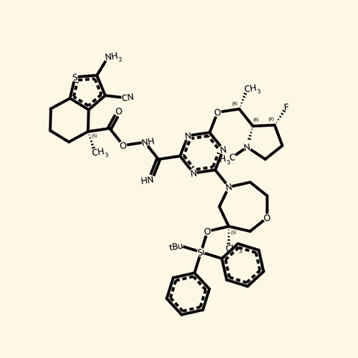 C[C@@H](Oc1nc(C(=N)NOC(=O)[C@@]2(C)CCCc3sc(N)c(C#N)c32)nc(N2CCOC[C@@](C)(O[Si](c3ccccc3)(c3ccccc3)C(C)(C)C)C2)n1)[C@@H]1[C@H](F)CCN1C